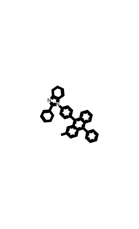 Cc1ccc2c(-c3ccccc3)c3ccccc3c(-c3ccc(-n4c(C5=CC=CCC5)nc5c4C=CCC5)cc3)c2c1